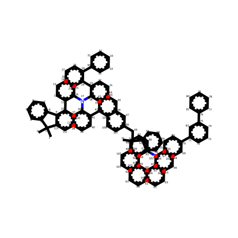 CC1(C)c2ccccc2-c2c(-c3ccccc3N(c3ccccc3-c3ccccc3-c3ccccc3)c3ccccc3-c3cccc4cc(CC5(C)c6ccccc6-c6c(-c7ccccc7N(c7ccc(-c8cccc(-c9ccccc9)c8)cc7)c7ccccc7-c7ccccc7-c7ccccc7)cccc65)ccc34)cccc21